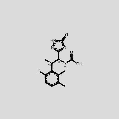 Cc1ccc(F)c([C@@H](C)[C@H](NC(=O)O)c2n[nH]c(=O)o2)c1C